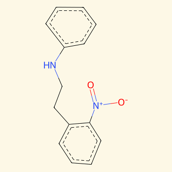 O=[N+]([O-])c1ccccc1CCNc1ccccc1